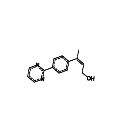 C/C(=C/CO)c1ccc(-c2ncccn2)cc1